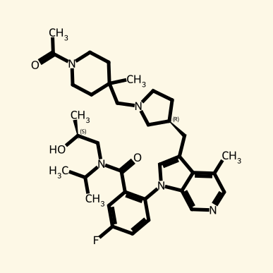 CC(=O)N1CCC(C)(CN2CC[C@@H](Cc3cn(-c4ccc(F)cc4C(=O)N(C[C@H](C)O)C(C)C)c4cncc(C)c34)C2)CC1